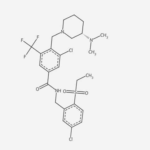 CCS(=O)(=O)c1ccc(Cl)cc1CNC(=O)c1cc(Cl)c(CN2CCC[C@H](N(C)C)C2)c(C(F)(F)F)c1